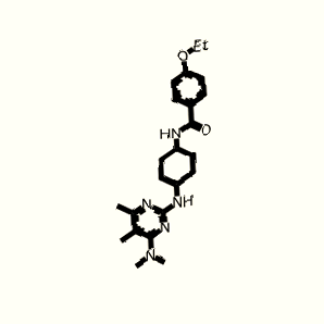 CCOc1ccc(C(=O)NC2CCC(Nc3nc(C)c(C)c(N(C)C)n3)CC2)cc1